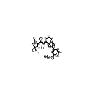 COc1cc(-c2nc3n(n2)CCC[C@@H]3NC(=O)c2cc(C(F)(F)F)nn2C)ccn1